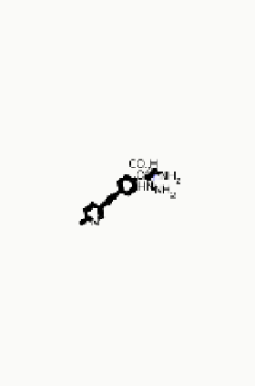 Cc1ccc(C#Cc2ccc(O/C(NN)=C(/N)C(=O)O)cc2)cn1